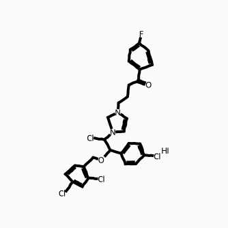 I.O=C(CCCN1C=CN(C(Cl)C(OCc2ccc(Cl)cc2Cl)c2ccc(Cl)cc2)C1)c1ccc(F)cc1